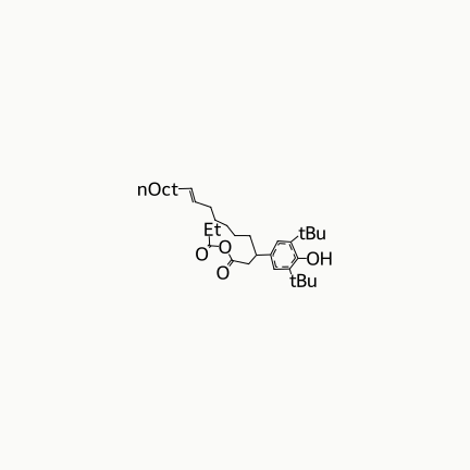 CCCCCCCCC=CCCCCCC(CC(=O)OC(=O)CC)c1cc(C(C)(C)C)c(O)c(C(C)(C)C)c1